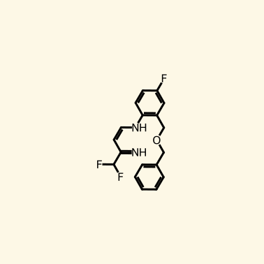 N=C(/C=C\Nc1ccc(F)cc1COCc1ccccc1)C(F)F